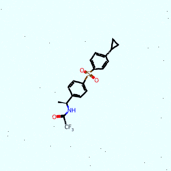 C[C@H](NC(=O)C(F)(F)F)c1ccc(S(=O)(=O)c2ccc(C3CC3)cc2)cc1